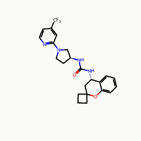 O=C(N[C@H]1CCN(c2cc(C(F)(F)F)ccn2)C1)N[C@H]1CC2(CCC2)Oc2ccccc21